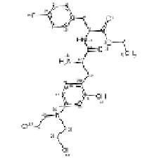 CCOC(=O)C(Cc1ccc(F)cc1)NC(=O)C(N)Cc1ccc(N(CCCl)CCCl)cc1O